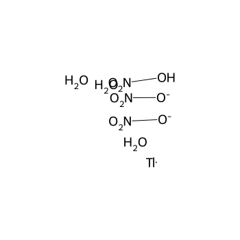 O.O.O.O=[N+]([O-])O.O=[N+]([O-])[O-].O=[N+]([O-])[O-].[Tl]